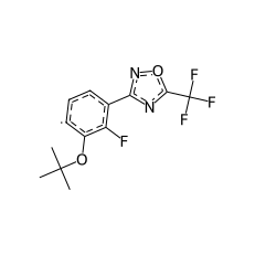 CC(C)(C)Oc1[c]ccc(-c2noc(C(F)(F)F)n2)c1F